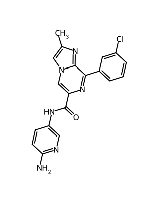 Cc1cn2cc(C(=O)Nc3ccc(N)nc3)nc(-c3cccc(Cl)c3)c2n1